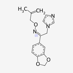 C=C(C)CO/N=C(\Cn1ccnc1)c1ccc2c(c1)OCO2